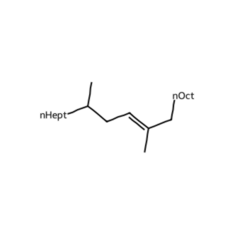 CCCCCCCCCC(C)=CCC(C)CCCCCCC